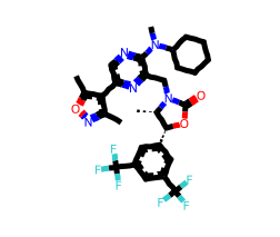 Cc1noc(C)c1-c1cnc(N(C)C2CCCCC2)c(CN2C(=O)O[C@H](c3cc(C(F)(F)F)cc(C(F)(F)F)c3)[C@@H]2C)n1